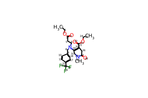 CCOC(=O)CCN(Cc1ccc(C(F)(F)F)cc1)C1=C(C(=O)OCC)CC(=O)N(C)C1